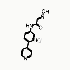 Cl.O=C(C=NO)Nc1ccc(-c2ccncc2)cc1